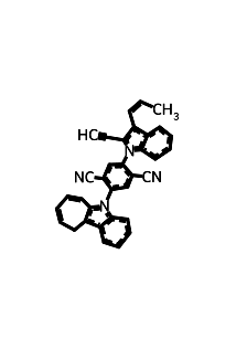 C#Cc1c(/C=C\C)c2ccccc2n1-c1cc(C#N)c(-n2c3c(c4ccccc42)CC=CC=C3)cc1C#N